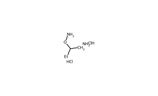 CCC(C)ON.Cl.Cl.N